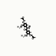 COc1cc(C(=O)C(N=O)c2ccc(OCC3CO3)c(OC)c2)ccc1OCC1CO1